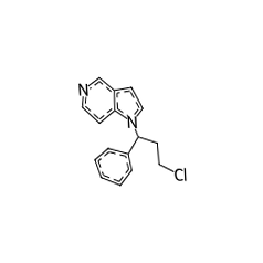 ClCCC(c1ccccc1)n1ccc2cnccc21